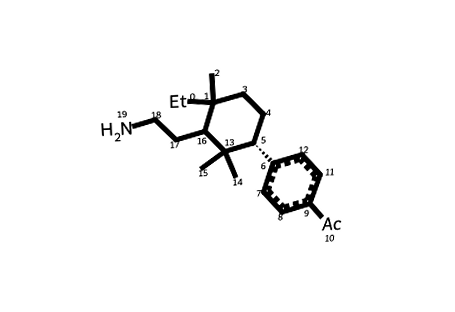 CCC1(C)CC[C@H](c2ccc(C(C)=O)cc2)C(C)(C)C1CCN